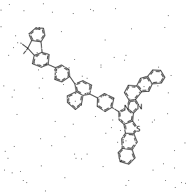 CC1(C)c2ccccc2-c2cc(-c3ccc(-c4ccc(-c5ccc(-c6cc7c8cc9ccccc9cc8sc7c7nc8c9cc%10ccccc%10cc9ccc8n67)cc5)c5ccccc45)cc3)ccc21